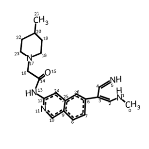 CN/C=C(\C=N)c1ccc2cnc(NC(=O)CN3CCC(C)CC3)cc2c1